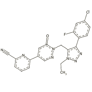 CCn1nnc(-c2ccc(Cl)cc2F)c1Cn1ncc(-c2cccc(C#N)n2)cc1=O